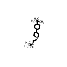 CC(C)(C)OCCN1CCC(C2CCC(C(C)(C)C)CC2)CC1